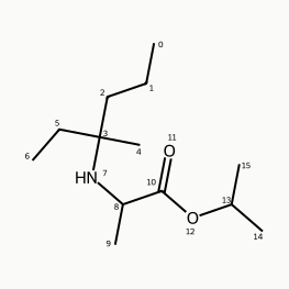 CCCC(C)(CC)NC(C)C(=O)OC(C)C